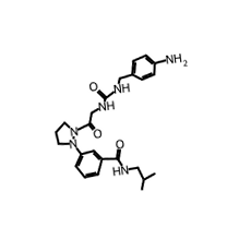 CC(C)CNC(=O)c1cccc(N2CCCN2C(=O)CNC(=O)NCc2ccc(N)cc2)c1